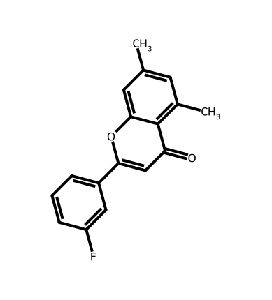 Cc1cc(C)c2c(=O)cc(-c3cccc(F)c3)oc2c1